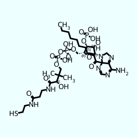 CCCCCCCC=CC(=O)C12N=CN=C(N)C1=NCN2[C@@H]1O[C@H](COP(=O)(O)OP(=O)(O)OCC(C)(C)[C@@H](O)C(=O)NCCC(=O)NCCS)[C@@H](OP(=O)(O)O)[C@H]1O